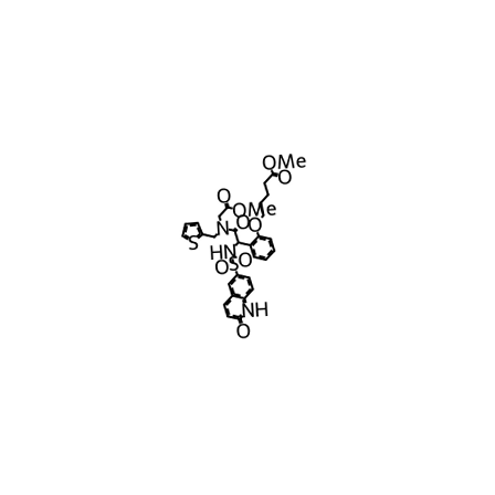 COC(=O)CCCCOc1ccccc1C(NS(=O)(=O)c1ccc2[nH]c(=O)ccc2c1)C(=O)N(CC(=O)OC)Cc1cccs1